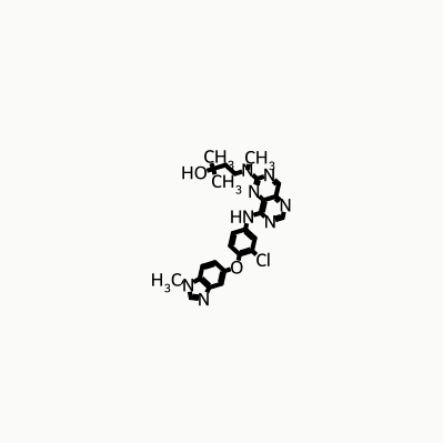 CN(CCC(C)(C)O)c1ncc2ncnc(Nc3ccc(Oc4ccc5c(c4)ncn5C)c(Cl)c3)c2n1